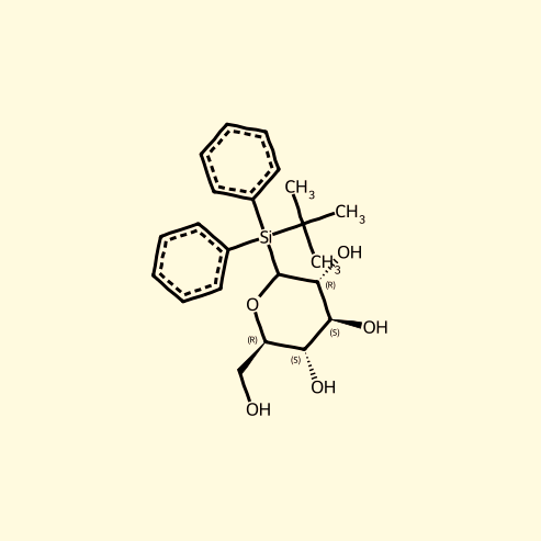 CC(C)(C)[Si](c1ccccc1)(c1ccccc1)C1O[C@H](CO)[C@@H](O)[C@H](O)[C@H]1O